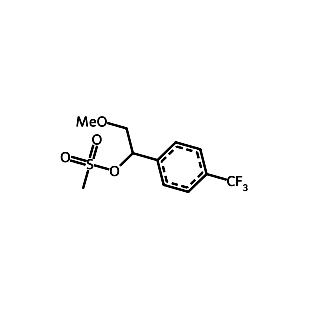 COCC(OS(C)(=O)=O)c1ccc(C(F)(F)F)cc1